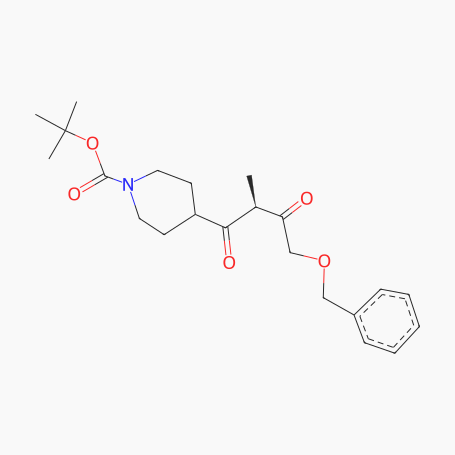 C[C@@H](C(=O)COCc1ccccc1)C(=O)C1CCN(C(=O)OC(C)(C)C)CC1